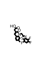 Cc1ccc2cc(CC(=O)O)c(=O)n(Cc3nc4c(F)c(F)cc(F)c4s3)c2c1